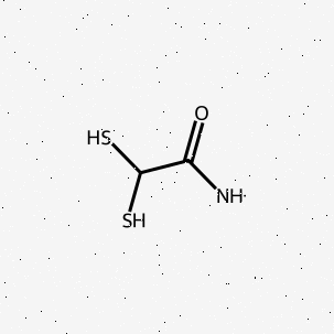 [NH]C(=O)C(S)S